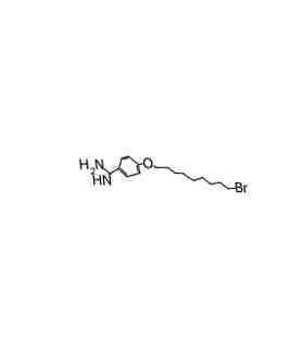 N=C(N)c1ccc(OCCCCCCCCCBr)cc1